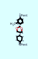 CCCCCc1ccc([C@H]2OC[C@H](C3CCC(CCCCC)CC3)CO2)c(C)c1